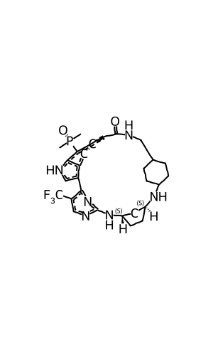 CP(C)(=O)c1c2ccc3c(c[nH]c13)-c1nc(ncc1C(F)(F)F)N[C@H]1CC[C@@H](C1)NC1CCC(CC1)CNC2=O